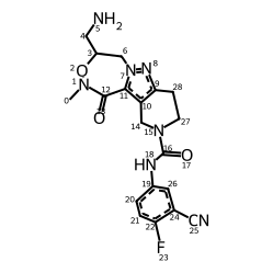 CN1OC(CN)Cn2nc3c(c2C1=O)CN(C(=O)Nc1ccc(F)c(C#N)c1)CC3